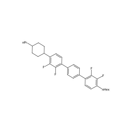 CCCCCCc1ccc(-c2ccc(-c3ccc(C4CCC(CCC)CC4)c(F)c3F)cc2)c(F)c1F